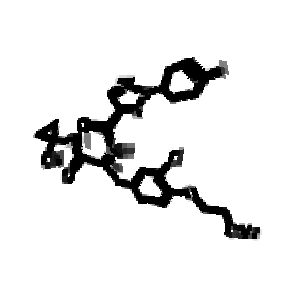 COCCOc1ccc(C[C@H](NC(=O)c2cnn(-c3ccc(F)cc3)n2)C(=O)NC2(C#N)CC2)cc1Cl